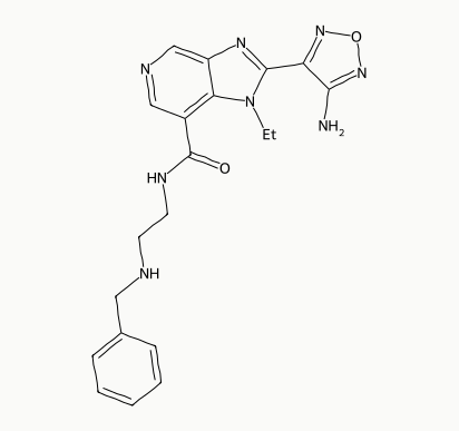 CCn1c(-c2nonc2N)nc2cncc(C(=O)NCCNCc3ccccc3)c21